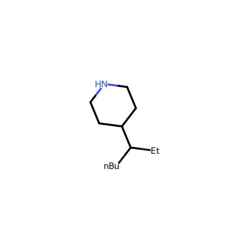 CCCCC(CC)C1CCNCC1